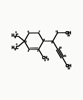 CC1=CC(C)(C)CCC1C(C#CO)CO